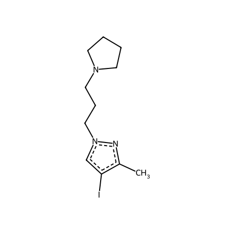 Cc1nn(CCCN2CCCC2)cc1I